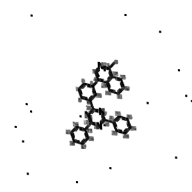 Cc1ncc(-c2cccc(-c3nc(-c4ccccc4)nc(-c4ccccc4)n3)c2)c2ccccc12